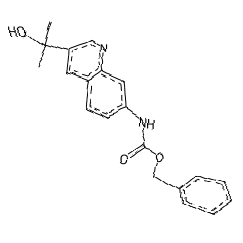 CC(C)(O)c1cnc2cc(NC(=O)OCc3ccccc3)ccc2c1